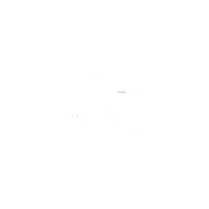 CCCCCCCP(CCCCCCC)C(CC)CCCCC